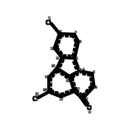 O=c1ccn2c3ccc(Cl)cc3c3cc(Cl)cc1c32